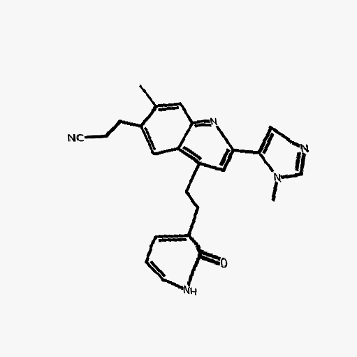 Cc1cc2nc(-c3cncn3C)cc(CCc3ccc[nH]c3=O)c2cc1CCC#N